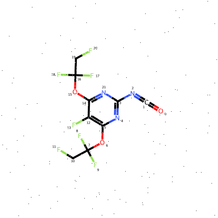 O=C=Nc1nc(OC(F)(F)CF)c(F)c(OC(F)(F)CF)n1